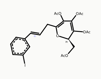 CC(=O)OC[C@H]1OC(C/C=C/c2cccc(I)c2)=C(OC(C)=O)C(OC(C)=O)=C1OC(C)=O